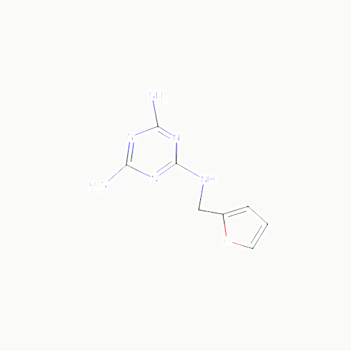 Nc1nc(N)nc(NCc2ccco2)n1